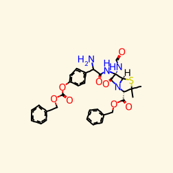 CC1(C)S[C@H]2N(C(=O)[C@@]2(NC=O)NC(=O)C(N)c2ccc(OC(=O)OCc3ccccc3)cc2)[C@H]1C(=O)OCc1ccccc1